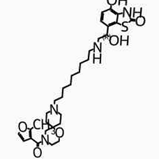 Cc1occc1C(=O)N1CCOC2(CCN(CCCCCCCCCNC[C@H](O)c3ccc(O)c4[nH]c(=O)sc34)CC2)C1